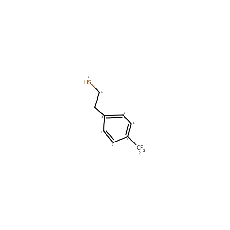 FC(F)(F)c1ccc(CCS)cc1